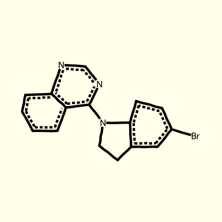 Brc1ccc2c(c1)CCN2c1ncnc2ccccc12